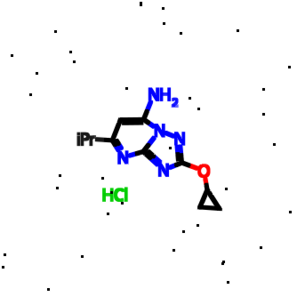 CC(C)c1cc(N)n2nc(OC3CC3)nc2n1.Cl